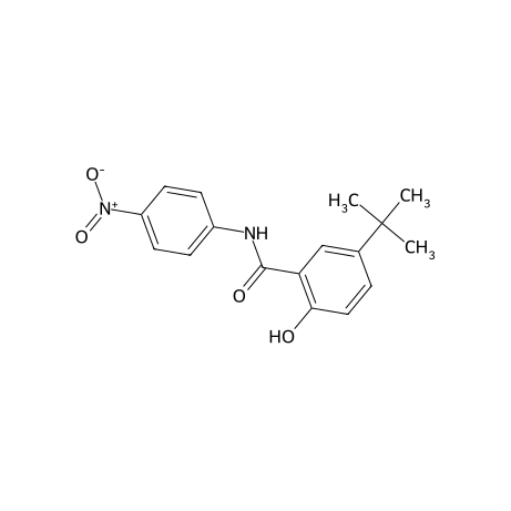 CC(C)(C)c1ccc(O)c(C(=O)Nc2ccc([N+](=O)[O-])cc2)c1